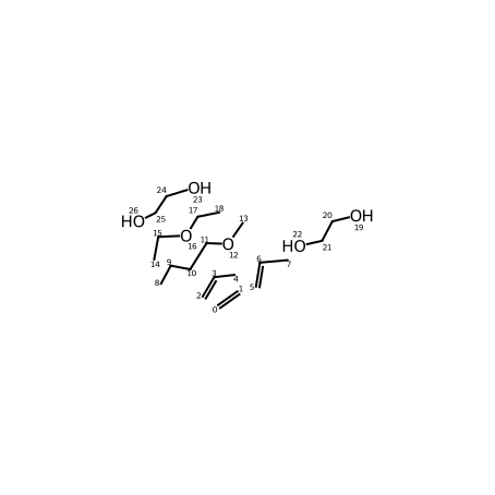 C=C.C=CC.C=CC.CCCCOC.CCOCC.OCCO.OCCO